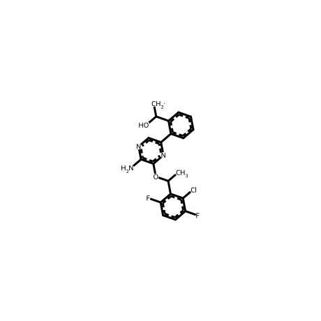 [CH2]C(O)c1ccccc1-c1cnc(N)c(OC(C)c2c(F)ccc(F)c2Cl)n1